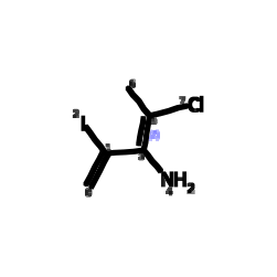 C=C(I)/C(N)=C(\C)Cl